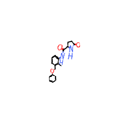 Cc1c(COc2ccccc2)cccc1NC(=O)C1CCC(=O)N1